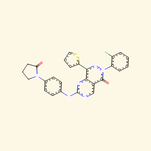 O=C1CCCN1c1ccc(Nc2ncc3c(=O)n(-c4ccccc4Cl)nc(-c4cccs4)c3n2)cc1